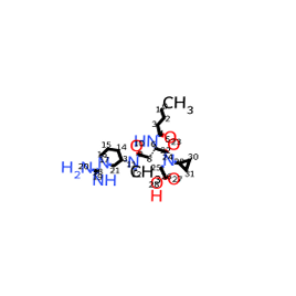 CCCCC(=O)N[C@@H](CC(=O)N(C)[C@H]1CCCN(C(=N)N)C1)C(=O)N(CC(=O)O)C1CC1